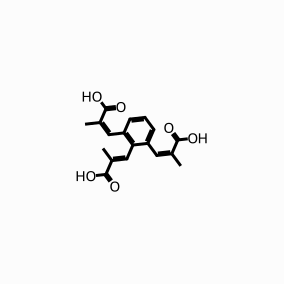 CC(=Cc1cccc(C=C(C)C(=O)O)c1C=C(C)C(=O)O)C(=O)O